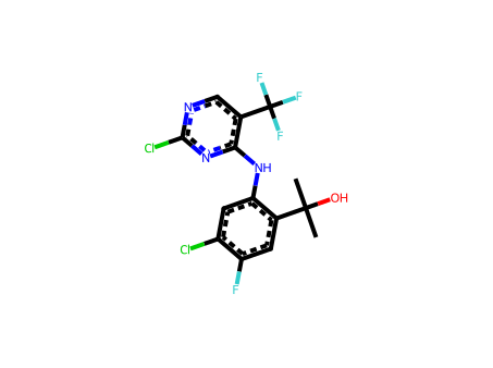 CC(C)(O)c1cc(F)c(Cl)cc1Nc1nc(Cl)ncc1C(F)(F)F